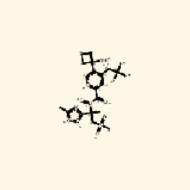 Cc1nc(C(C)(CS(C)(=O)=O)[N+](=O)C(=O)c2cc([C@H](C)C(F)(F)F)c(C3(O)CCC3)cn2)no1